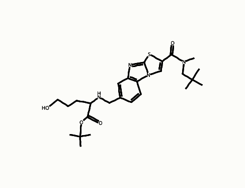 CN(CC(C)(C)C)C(=O)c1cn2c(nc3cc(CNC(CCCO)C(=O)OC(C)(C)C)ccc32)s1